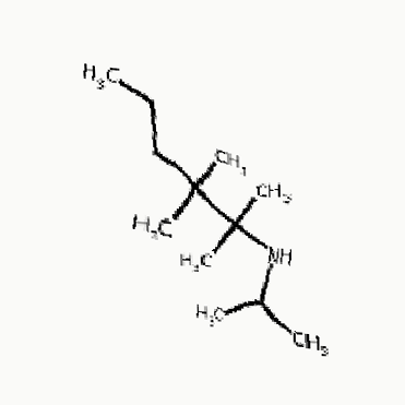 CCCC(C)(C)C(C)(C)NC(C)C